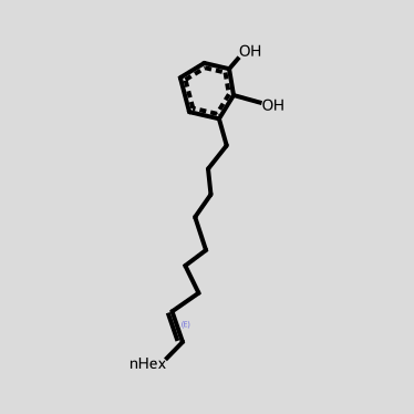 CCCCCC/C=C/CCCCCCCc1cccc(O)c1O